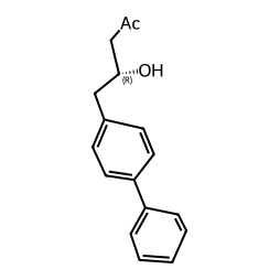 CC(=O)C[C@H](O)Cc1ccc(-c2ccccc2)cc1